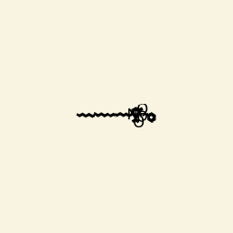 CCCCCCCCCCCCCCCCC=Cn1ccc(=O)c(OCc2ccccc2)c1C(C)=O